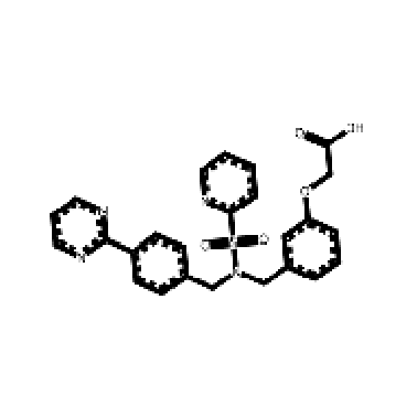 O=C(O)COc1cccc(CN(Cc2ccc(-c3ncccn3)cc2)S(=O)(=O)c2ccccn2)c1